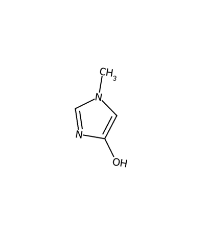 Cn1cnc(O)c1